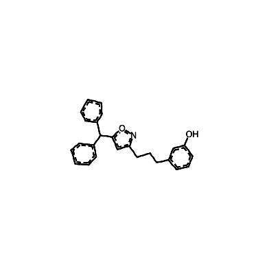 Oc1cccc(CCCc2cc(C(c3ccccc3)c3ccccc3)on2)c1